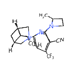 CC1CCN1c1nc(N2C[C@H]3C[C@@H](C2)C3CC(=O)O)cc(C(F)(F)F)c1C#N